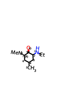 CCNC1CC(C)C[C@@H](NC)C1=O